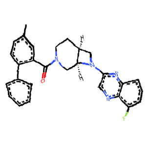 Cc1ccc(-c2ccccc2)c(C(=O)N2CC[C@H]3CN(c4cnc5c(F)cccc5n4)[C@H]3C2)c1